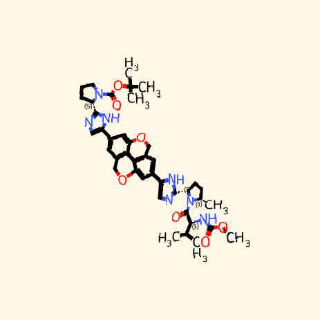 COC(=O)N[C@H](C(=O)N1[C@@H](C)CC[C@H]1c1ncc(-c2cc3c4c(c2)OCc2cc(-c5cnc([C@@H]6CCCN6C(=O)OC(C)(C)C)[nH]5)cc(c2-4)OC3)[nH]1)C(C)C